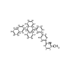 Cc1cccc(-c2ccc(-c3cccc(-c4c5ccccc5c(-c5ccc6ccccc6c5)c5ccccc45)c3)cc2)n1